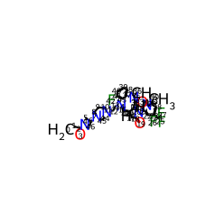 C=CC(=O)N1CC(N2CCCN(CCN3C[C@H]4CC(=O)N(c5cc(C(F)(F)F)cc(C)n5)[C@@H]4C(=O)N(C)c4cccc(F)c43)CC2)C1